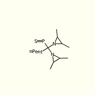 CCCCCC(P=S)(N1C(C)C1C)N1C(C)C1C